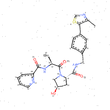 Cc1ncsc1-c1ccc(CNC(=O)[C@@H]2C[C@@H](O)CN2C(=O)[C@@H](NC(=O)c2ccccn2)C(C)(C)C)cc1